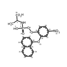 CC(NP(=O)(O)OOc1ccc([N+](=O)[O-])cc1Oc1cccc2ccccc12)C(=O)O